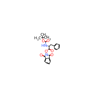 CC(C)(C)OC(=O)NC(Cc1ccccc1)C(=O)ON1C(=O)c2ccccc2C1=O